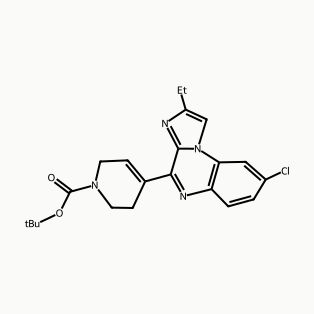 CCc1cn2c(n1)c(C1=CCN(C(=O)OC(C)(C)C)CC1)nc1ccc(Cl)cc12